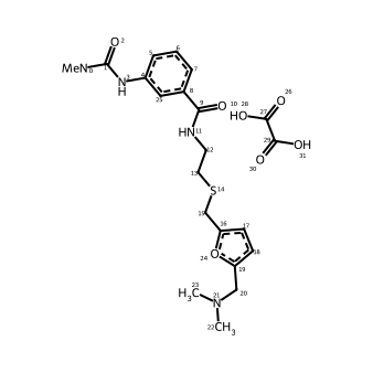 CNC(=O)Nc1cccc(C(=O)NCCSCc2ccc(CN(C)C)o2)c1.O=C(O)C(=O)O